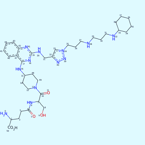 NC(CCC(=O)NC(CO)C(=O)N1CCC(Nc2nc(NCc3cn(CCCNCCCNC4CCCCC4)nn3)nc3ccccc23)CC1)C(=O)O